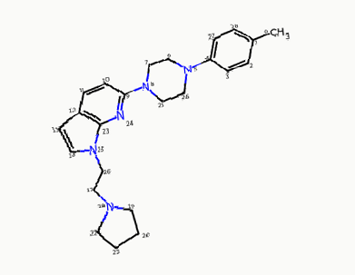 Cc1ccc(N2CCN(c3ccc4ccn(CCN5CCCC5)c4n3)CC2)cc1